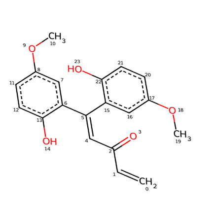 C=CC(=O)C=C(c1cc(OC)ccc1O)c1cc(OC)ccc1O